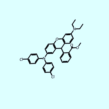 CCN(CC)c1ccc2c(c1)Oc1ccc(N(c3ccc(Cl)cc3)c3ccc(Cl)cc3)cc1C2c1ccccc1C(=O)OC